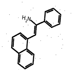 NC(=Cc1cccc2ccccc12)c1ccccc1